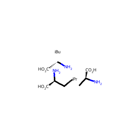 CC(C)C[C@H](N)C(=O)O.CC[C@H](C)[C@H](N)C(=O)O.C[C@H](N)C(=O)O